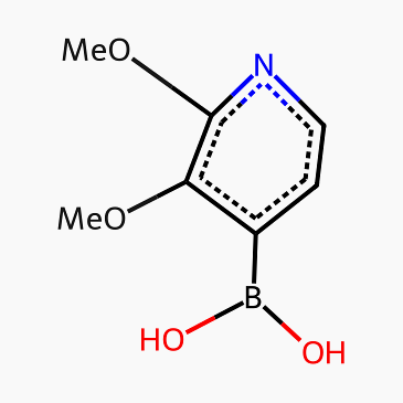 COc1nccc(B(O)O)c1OC